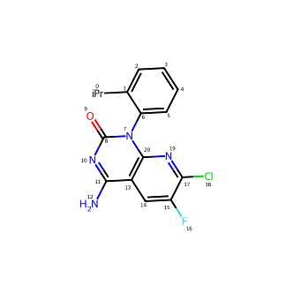 CC(C)c1ccccc1-n1c(=O)nc(N)c2cc(F)c(Cl)nc21